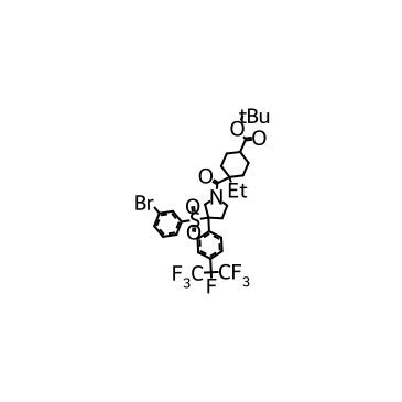 CCC1(C(=O)N2CCC(c3ccc(C(F)(C(F)(F)F)C(F)(F)F)cc3)(S(=O)(=O)c3cccc(Br)c3)C2)CCC(C(=O)OC(C)(C)C)CC1